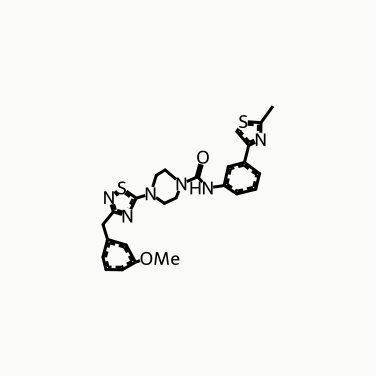 COc1cccc(Cc2nsc(N3CCN(C(=O)Nc4cccc(-c5csc(C)n5)c4)CC3)n2)c1